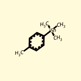 Cc1cc[c]([1Sn]([CH3])([CH3])[CH3])cc1